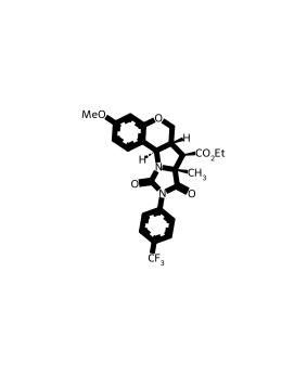 CCOC(=O)[C@@H]1[C@H]2COc3cc(OC)ccc3[C@@H]2N2C(=O)N(c3ccc(C(F)(F)F)cc3)C(=O)[C@@]12C